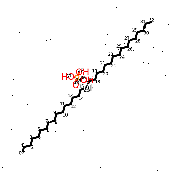 CCCCCCCCCCCCCCC[CH2][Al][CH2]CCCCCCCCCCCCCCC.O=P(O)(O)O